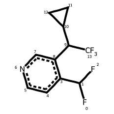 FC(F)c1ccncc1C(C1CC1)C(F)(F)F